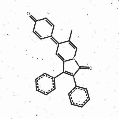 CC1=CN2C(=O)C(c3ccccc3)=C(c3ccccc3)C2=CC1=C1C=CC(=O)C=C1